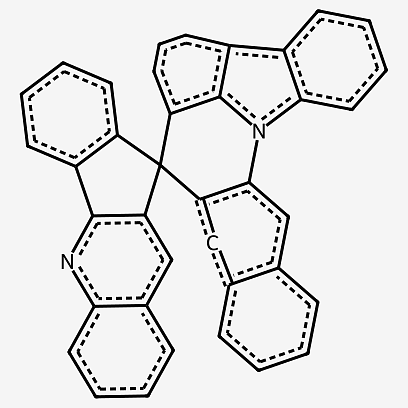 c1ccc2c(c1)-c1nc3ccccc3cc1C21c2cc3ccccc3cc2-n2c3ccccc3c3cccc1c32